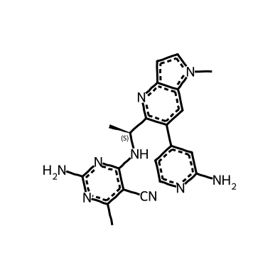 Cc1nc(N)nc(N[C@@H](C)c2nc3ccn(C)c3cc2-c2ccnc(N)c2)c1C#N